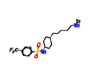 CCNCCCCCC1CCC(NS(=O)(=O)c2ccc(C(F)(F)F)cc2)CC1